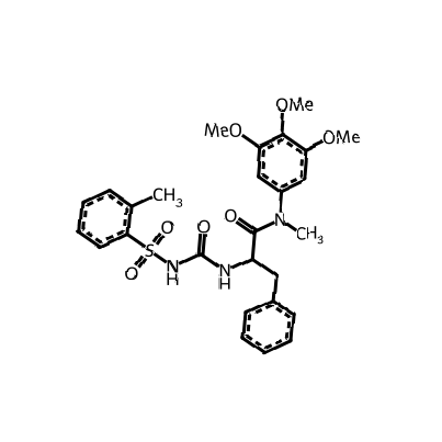 COc1cc(N(C)C(=O)C(Cc2ccccc2)NC(=O)NS(=O)(=O)c2ccccc2C)cc(OC)c1OC